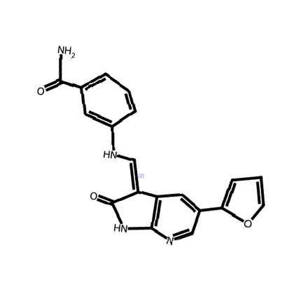 NC(=O)c1cccc(N/C=C2\C(=O)Nc3ncc(-c4ccco4)cc32)c1